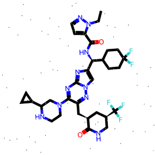 CCn1nccc1C(=O)N[C@H](c1cn2nc(C[C@H]3C[C@@H](C(F)(F)F)CNC3=O)c(N3CCNC(C4CC4)C3)nc2n1)C1CCC(F)(F)CC1